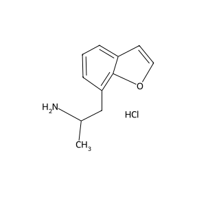 CC(N)Cc1cccc2ccoc12.Cl